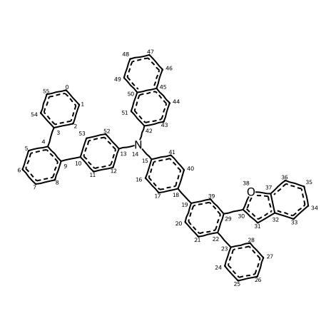 c1ccc(-c2ccccc2-c2ccc(N(c3ccc(-c4ccc(-c5ccccc5)c(-c5cc6ccccc6o5)c4)cc3)c3ccc4ccccc4c3)cc2)cc1